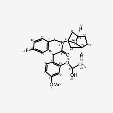 COc1ccc(CC(=O)N(Cc2ccc(F)cc2)[C@]23C[C@H]4CC[C@@H](C2)N43)c(OC(O)C(F)(F)F)c1